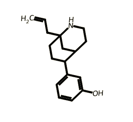 C=CCC12CCC(c3cccc(O)c3)C(CCN1)C2